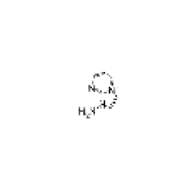 Nn1cc[n+]2cccnc12